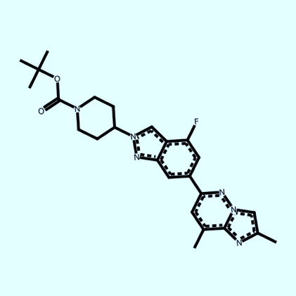 Cc1cn2nc(-c3cc(F)c4cn(C5CCN(C(=O)OC(C)(C)C)CC5)nc4c3)cc(C)c2n1